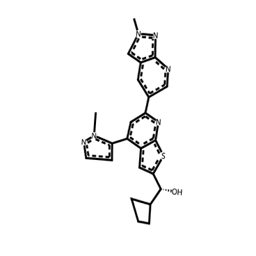 Cn1cc2cc(-c3cc(-c4ccnn4C)c4cc([C@H](O)C5CCC5)sc4n3)cnc2n1